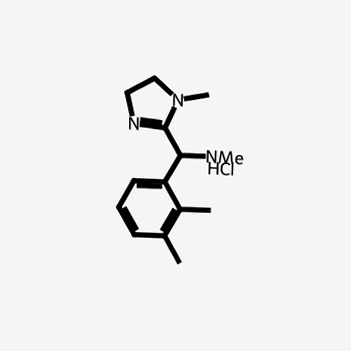 CNC(C1=NCCN1C)c1cccc(C)c1C.Cl